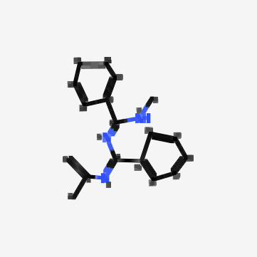 C=C(C)/N=C(\N=C(/NC)c1ccccc1)c1ccccc1